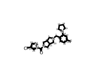 O=C(N1CC2CN(Cc3ccc(F)cc3N3CCCC3)CC2C1)n1cc(Cl)cn1